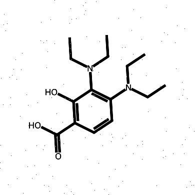 CCN(CC)c1ccc(C(=O)O)c(O)c1N(CC)CC